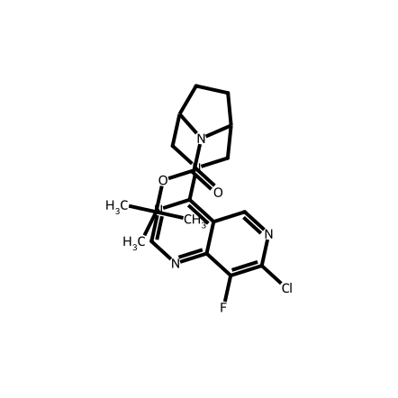 CC(C)(C)OC(=O)N1C2CCC1CN(c1ncnc3c(F)c(Cl)ncc13)C2